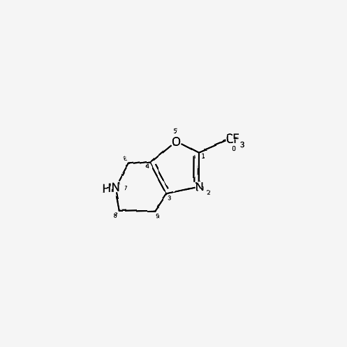 FC(F)(F)c1nc2c(o1)CNCC2